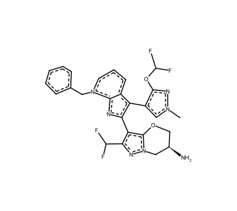 Cn1cc(-c2c3cccn(Cc4ccccc4)c-3nc2-c2c(C(F)F)nn3c2OC[C@@H](N)C3)c(OC(F)F)n1